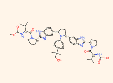 COC(=O)N[C@H](C(=O)N1CCC[C@H]1c1nc2cc(C3CC[C@H](c4ccc5nc([C@@H]6CCCN6C(=O)[C@@H](NC(=O)O)C(C)C)[nH]c5c4)N3c3ccc(C(C)(C)CO)cc3)ccc2[nH]1)C(C)C